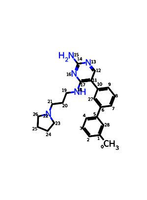 Cc1cccc(-c2cccc(-c3cnc(N)nc3NCCCN3CCCC3)c2)c1